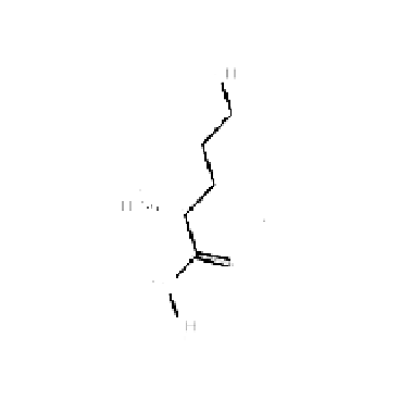 CCCC[C@@H](N)C(=O)OC.Cl